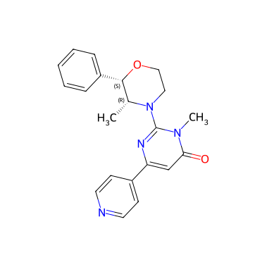 C[C@@H]1[C@H](c2ccccc2)OCCN1c1nc(-c2ccncc2)cc(=O)n1C